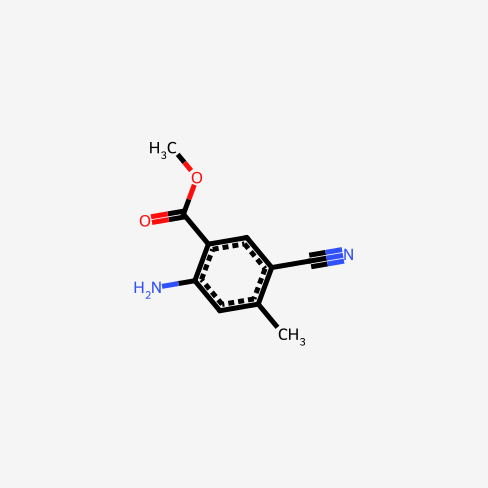 COC(=O)c1cc(C#N)c(C)cc1N